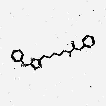 O=C(Cc1ccccc1)NCCCCCc1nnc(Nc2ccccc2)[se]1